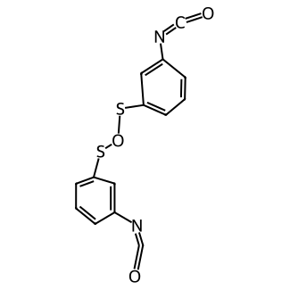 O=C=Nc1cccc(SOSc2cccc(N=C=O)c2)c1